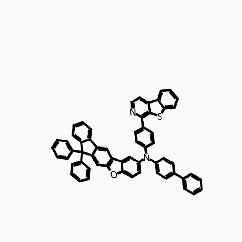 c1ccc(-c2ccc(N(c3ccc(-c4nccc5c4sc4ccccc45)cc3)c3ccc4oc5cc6c(cc5c4c3)-c3ccccc3C6(c3ccccc3)c3ccccc3)cc2)cc1